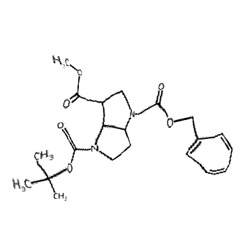 COC(=O)C1CN(C(=O)OCc2ccccc2)C2CCN(C(=O)OC(C)(C)C)C12